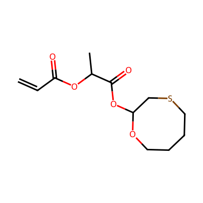 C=CC(=O)OC(C)C(=O)OC1CSCCCCO1